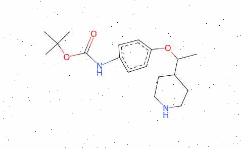 CC(Oc1ccc(NC(=O)OC(C)(C)C)cc1)C1CCNCC1